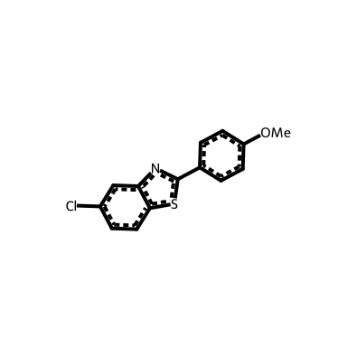 COc1ccc(-c2nc3cc(Cl)ccc3s2)cc1